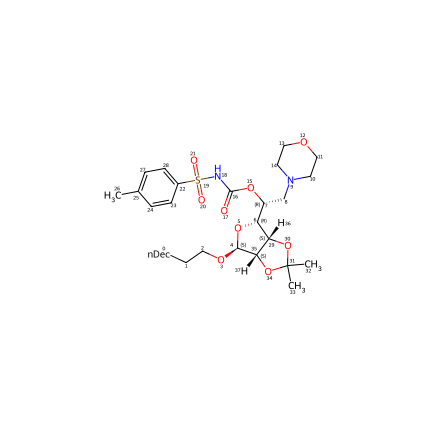 CCCCCCCCCCCCO[C@H]1O[C@H]([C@@H](CN2CCOCC2)OC(=O)NS(=O)(=O)c2ccc(C)cc2)[C@@H]2OC(C)(C)O[C@H]12